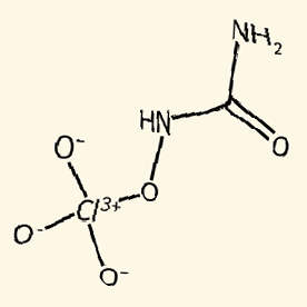 NC(=O)NO[Cl+3]([O-])([O-])[O-]